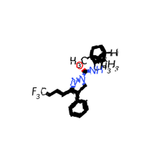 CC1(C)[C@@H]2CC[C@@]1(C)[C@@H](NC(=O)N1CC(c3ccccc3)C(CCCC(F)(F)F)=N1)C2